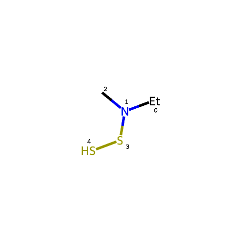 CCN(C)SS